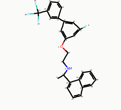 CC(NCCOc1cc(F)cc(-c2cccc(C(F)(F)F)c2)c1)c1cccc2ccccc12